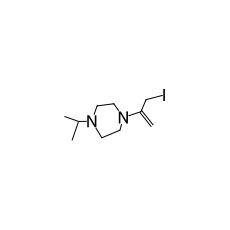 C=C(CI)N1CCN(C(C)C)CC1